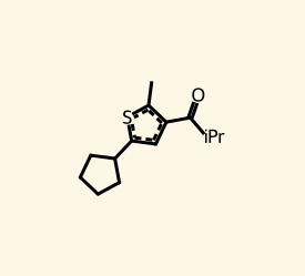 Cc1sc(C2CCCC2)cc1C(=O)C(C)C